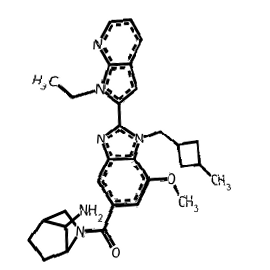 CCn1c(-c2nc3cc(C(=O)N4CC5CCC4C5N)cc(OC)c3n2CC2CC(C)C2)cc2cccnc21